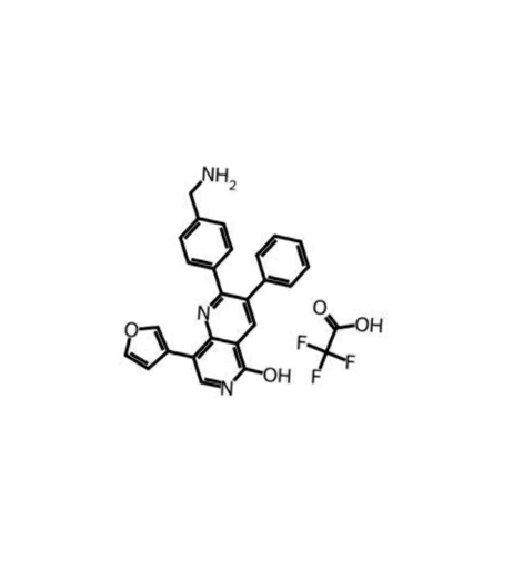 NCc1ccc(-c2nc3c(-c4ccoc4)cnc(O)c3cc2-c2ccccc2)cc1.O=C(O)C(F)(F)F